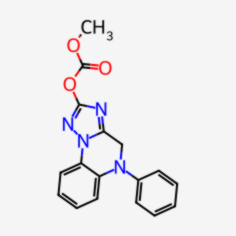 COC(=O)Oc1nc2n(n1)-c1ccccc1N(c1ccccc1)C2